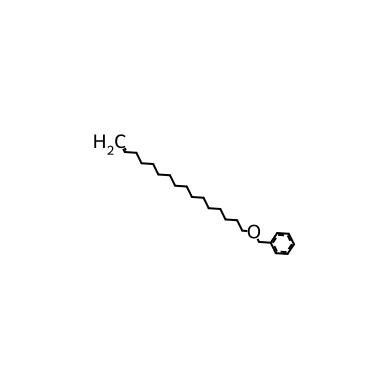 C=CCCCCCCCCCCCCCCOCc1ccccc1